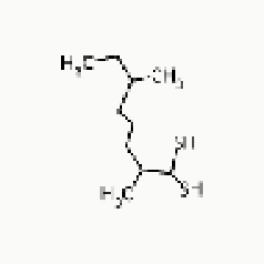 CCC(C)CCCC(C)C(S)S